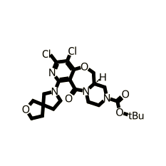 CC(C)(C)OC(=O)N1CCN2C(=O)c3c(N4CCC5(CCOC5)C4)nc(Cl)c(Cl)c3OC[C@H]2C1